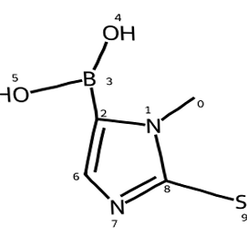 Cn1c(B(O)O)cnc1S